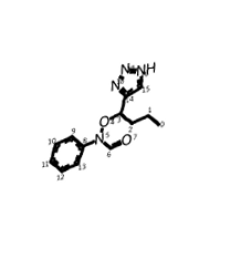 CCCC(ON(C=O)c1ccccc1)c1c[nH]nn1